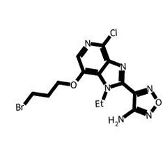 CCn1c(-c2nonc2N)nc2c(Cl)ncc(OCCCBr)c21